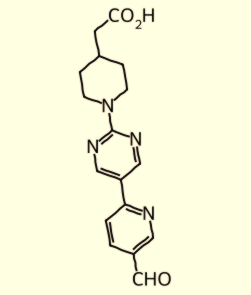 O=Cc1ccc(-c2cnc(N3CCC(CC(=O)O)CC3)nc2)nc1